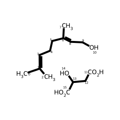 CC(C)=CCCC(C)=CCO.O=C(O)CC(O)C(=O)O